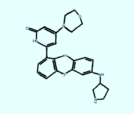 O=c1cc(N2CCOCC2)cc(-c2cccc3c2Sc2ccc(NC4CCNC4)cc2S3)[nH]1